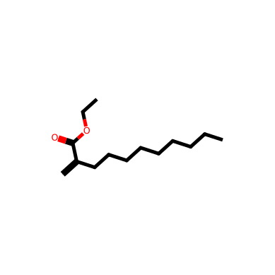 C=C(CCCCCCCCC)C(=O)OCC